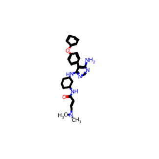 CN(C)CC=CC(=O)NC1CCCC(Nc2ncnc(N)c2-c2ccc(Oc3ccccc3)cc2)C1